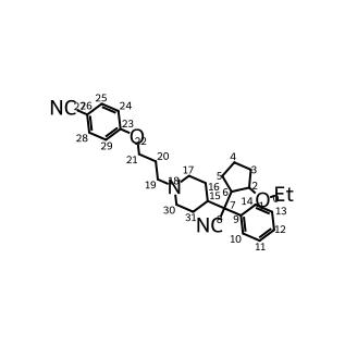 CCOC1CCCC1C(C#N)(c1ccccc1)C1CCN(CCCOc2ccc(C#N)cc2)CC1